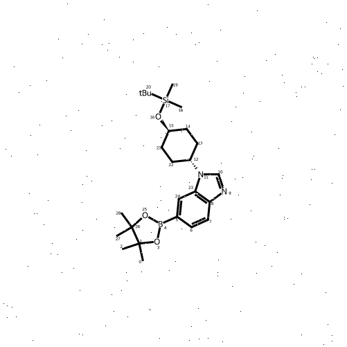 CC1(C)OB(c2ccc3ncn([C@H]4CC[C@H](O[Si](C)(C)C(C)(C)C)CC4)c3c2)OC1(C)C